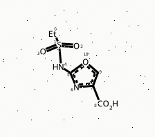 CCS(=O)(=O)Nc1nc(C(=O)O)co1